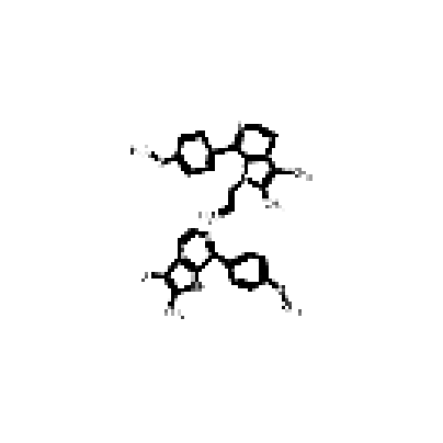 C=CCn1c(C)c(C)c2ccnc(-c3ccc(SC)cc3)c21.CSc1ccc(-c2nccc3c(C)c(C)[nH]c23)cc1